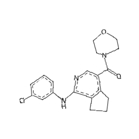 O=C(c1cnc(Nc2cccc(Cl)c2)c2c1CCC2)N1CCOCC1